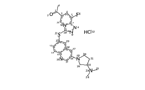 CC(=O)c1cc(F)c2nnc(Sc3ccc4ncc(N5CCC(N(C)C)C5)cc4c3)n2c1.Cl